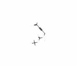 COC(=O)C#CCN(C)C(=O)OC(C)(C)C